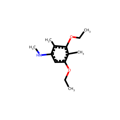 CCOc1cc(NC)c(C)c(OCC)c1C